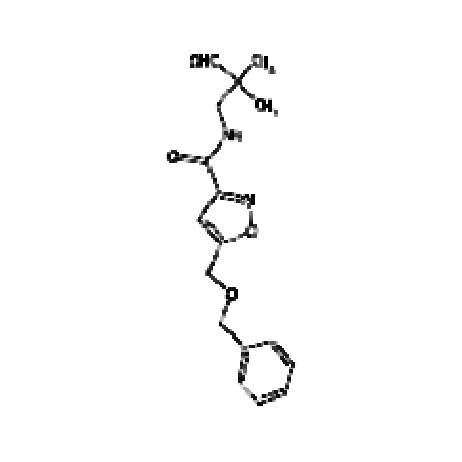 CC(C)(C=O)CNC(=O)c1cc(COCc2ccccc2)on1